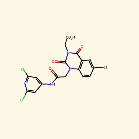 CCc1ccc2c(c1)c(=O)n(CC(=O)O)c(=O)n2CC(=O)Nc1cc(Cl)nc(Cl)c1